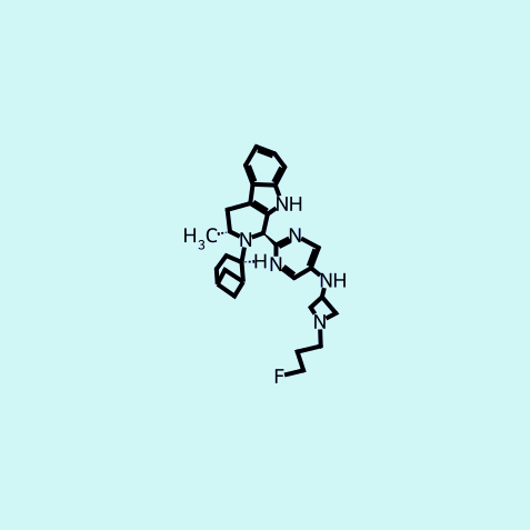 C[C@@H]1Cc2c([nH]c3ccccc23)[C@@H](c2ncc(NC3CN(CCCF)C3)cn2)N1[C@@H]1CCC2CC1C2